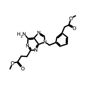 COC(=O)CCc1nc(N)c2ncn(Cc3cccc(CC(=O)OC)c3)c2n1